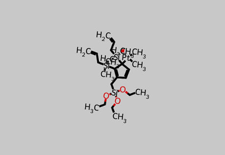 C=CC[Si](C)(C)C1=C(C[Si](OCC)(OCC)OCC)C=C[C]1([Si](C)(C)CC=C)[Pt]([CH3])([CH3])[CH3]